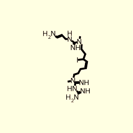 CN(CCCC(I)/C=C\CCCN(C)C(=N)NC(=N)N)C(=N)NC/C=C/N